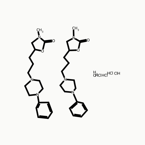 CN1CC(CCCN2CCN(c3ccccc3)CC2)OC1=O.CN1CC(CCCN2CCN(c3ccccc3)CC2)OC1=O.Cl.Cl.Cl.Cl.O